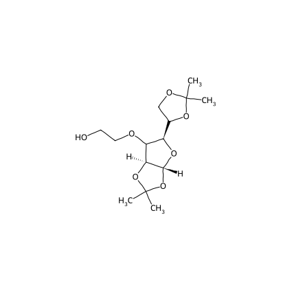 CC1(C)OCC([C@H]2O[C@@H]3OC(C)(C)O[C@H]3C2OCCO)O1